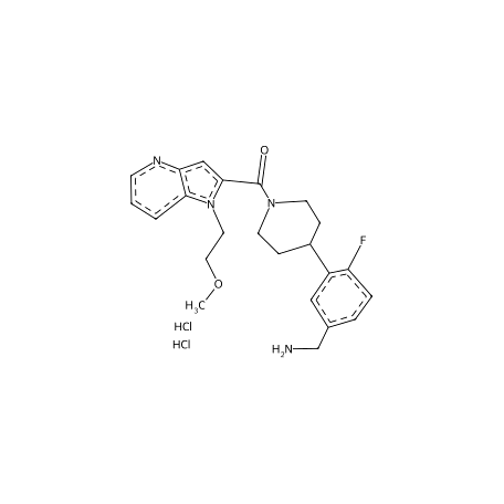 COCCn1c(C(=O)N2CCC(c3cc(CN)ccc3F)CC2)cc2ncccc21.Cl.Cl